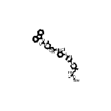 CC1CC(O)(CC(=O)Nc2cccc(Sc3cnc(N4CCC(C)(CNC(=O)OC(C)(C)C)CC4)cn3)c2Cl)CCN1C(=O)OC1c2ccccc2-c2ccccc21